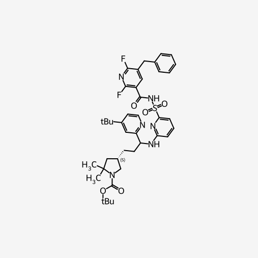 CC(C)(C)OC(=O)N1C[C@@H](CCC(Nc2cccc(S(=O)(=O)NC(=O)c3cc(Cc4ccccc4)c(F)nc3F)n2)c2cc(C(C)(C)C)ccn2)CC1(C)C